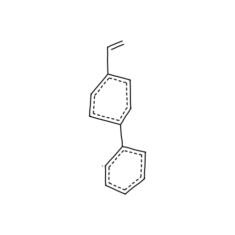 C=Cc1ccc(-c2[c]cccc2)cc1